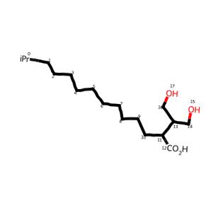 CC(C)CCCCCCCCCCC(C(=O)O)C(CO)CO